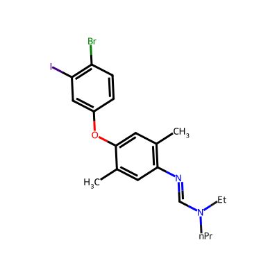 CCCN(/C=N/c1cc(C)c(Oc2ccc(Br)c(I)c2)cc1C)CC